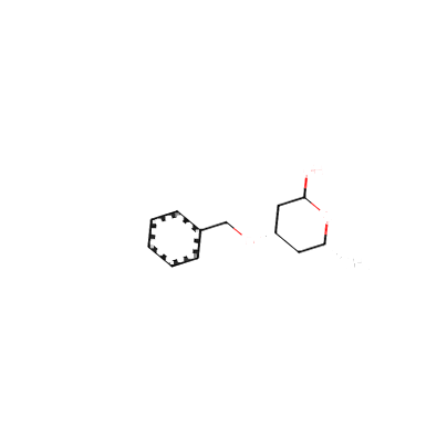 C[C@@H]1C[C@H](OCc2ccccc2)CC(O)O1